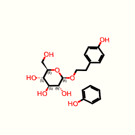 OC[C@H]1O[C@@H](OCCc2ccc(O)cc2)[C@H](O)[C@@H](O)[C@@H]1O.Oc1ccccc1